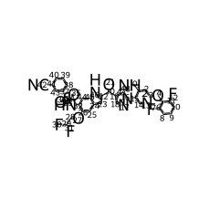 Cc1cc(Oc2c(F)cccc2F)ncc1-n1ncc(C(=O)c2cc3cc(OCC(F)F)c(NS(=O)(=O)c4cccc(C#N)c4)cc3[nH]2)c1N